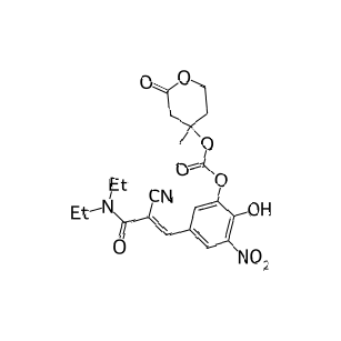 CCN(CC)C(=O)/C(C#N)=C/c1cc(OC(=O)OC2(C)CCOC(=O)C2)c(O)c([N+](=O)[O-])c1